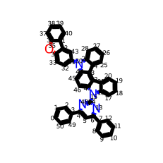 c1ccc(-c2cc(-c3ccccc3)nc(-n3c4ccccc4c4c5c6ccccc6n(-c6ccc7oc8ccccc8c7c6)c5ccc43)n2)cc1